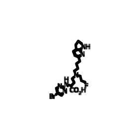 O=C(O)C(CCN(CCCF)CCCCc1ccc2c(n1)NCCC2)Nc1ncc(Br)cn1